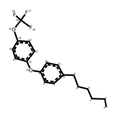 [CH2]CCCCCc1ccc(Oc2ccc(OC(F)(F)F)cc2)cc1